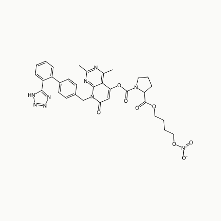 Cc1nc(C)c2c(OC(=O)N3CCCC3C(=O)OCCCCO[N+](=O)[O-])cc(=O)n(Cc3ccc(-c4ccccc4-c4nnn[nH]4)cc3)c2n1